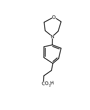 O=C(O)CCc1ccc(N2CCOCC2)cc1